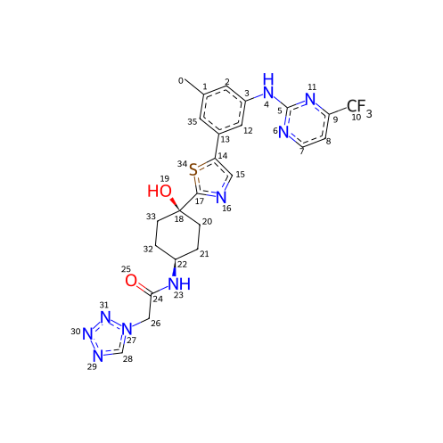 Cc1cc(Nc2nccc(C(F)(F)F)n2)cc(-c2cnc([C@]3(O)CC[C@@H](NC(=O)Cn4cnnn4)CC3)s2)c1